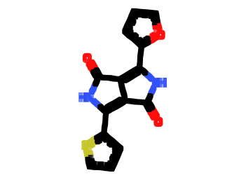 O=C1NC(c2cccs2)=C2C(=O)NC(c3ccco3)=C12